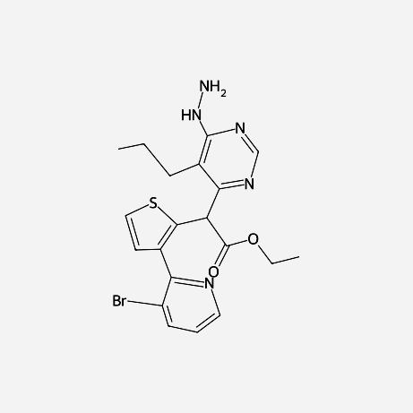 CCCc1c(NN)ncnc1C(C(=O)OCC)c1sccc1-c1ncccc1Br